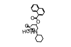 O=C(OC(CNC1CCCCC1)CS(=O)(=O)O)c1cccc2ccccc12